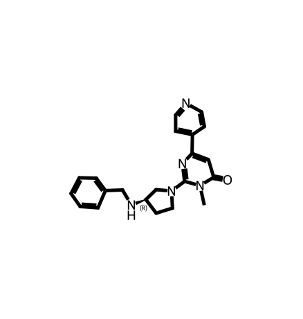 Cn1c(N2CC[C@@H](NCc3ccccc3)C2)nc(-c2ccncc2)cc1=O